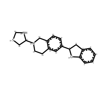 c1ccc2c(c1)CC(c1ccc3c(c1)CCN(C1CSCN1)C3)O2